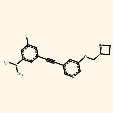 CN(C)c1cc(F)cc(C#Cc2cncc(OC[C@@H]3CCN3)c2)c1